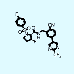 N#Cc1ccc(-c2cnc(C(F)(F)F)nc2)cc1CNC(=O)[C@@H]1[C@@H](F)CCN1S(=O)(=O)c1ccc(F)cc1